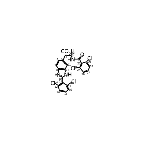 O=C(N[C@@H](Cc1ccc2nc(-c3c(Cl)cccc3Cl)[nH]c2c1)C(=O)O)c1c(Cl)cccc1Cl